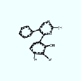 CC(C)c1ccc(-c2nc(S)ncc2-c2ccccc2)c(O)c1Br